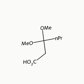 CCCC(CC(=O)O)(OC)OC